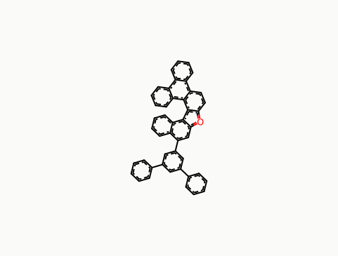 c1ccc(-c2cc(-c3ccccc3)cc(-c3cc4oc5ccc6c7ccccc7c7ccccc7c6c5c4c4ccccc34)c2)cc1